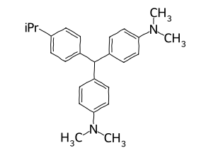 CC(C)c1ccc(C(c2ccc(N(C)C)cc2)c2ccc(N(C)C)cc2)cc1